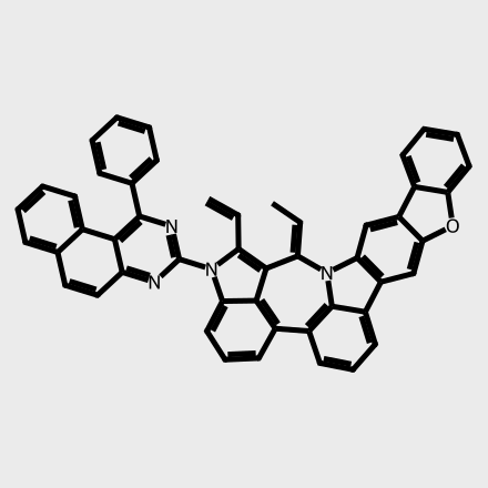 C=Cc1c2/c(=C\C)n3c4cc5c(cc4c4cccc(c6cccc(c26)n1-c1nc(-c2ccccc2)c2c(ccc6ccccc62)n1)c43)oc1ccccc15